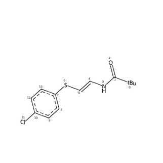 CC(C)(C)C(=O)NC=CSc1ccc(Cl)cc1